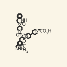 Cc1cc(CC(NC(=O)N2CCC(N3CCc4ccccc4NC3=O)CC2)C(=O)N2CCC(C3CCN(CC(=O)O)CC3)CC2)cc2cn[nH]c12